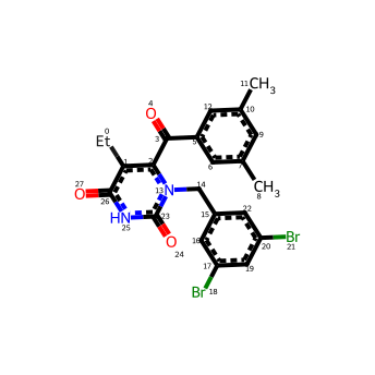 CCc1c(C(=O)c2cc(C)cc(C)c2)n(Cc2cc(Br)cc(Br)c2)c(=O)[nH]c1=O